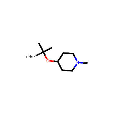 CCCCCCC(C)(C)OC1CCN(C)CC1